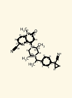 CC(c1ccc(C2(C#N)CC2)cc1)N1C[C@H](C)N(c2cc(=O)n(C)c3ccc(C#N)nc23)C[C@H]1C